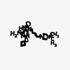 CC(C)N1CCN(CCCCn2c(=O)[nH]c3c(N)nc(OC4CCC4)nc32)CC1